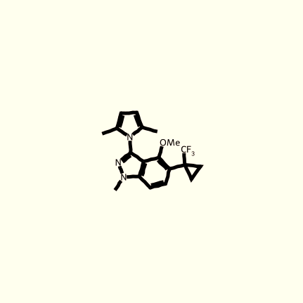 COc1c(C2(C(F)(F)F)CC2)ccc2c1c(-n1c(C)ccc1C)nn2C